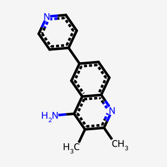 Cc1nc2ccc(-c3ccncc3)cc2c(N)c1C